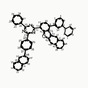 C1=CCC(c2cccc(-c3ccc(-c4nc(-c5ccccc5)nc(-c5ccc(-c6ccc7ccccc7c6)cc5)n4)c4oc5cc6ccccc6cc5c34)c2)C=C1